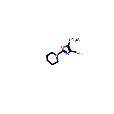 CCOC(=O)c1oc(N2CCCCC2)nc1C(F)(F)F